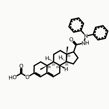 C[C@]12CCC(OC(=O)O)=CC1=CC[C@@H]1[C@@H]2CC[C@]2(C)C(C(=O)NN(c3ccccc3)c3ccccc3)CC[C@@H]12